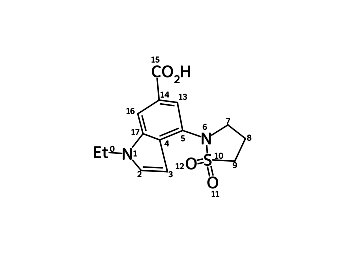 CCn1ccc2c(N3CCCS3(=O)=O)cc(C(=O)O)cc21